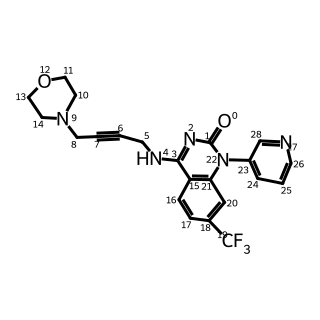 O=c1nc(NCC#CCN2CCOCC2)c2ccc(C(F)(F)F)cc2n1-c1cccnc1